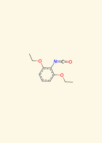 CCOc1cccc(OCC)c1N=C=O